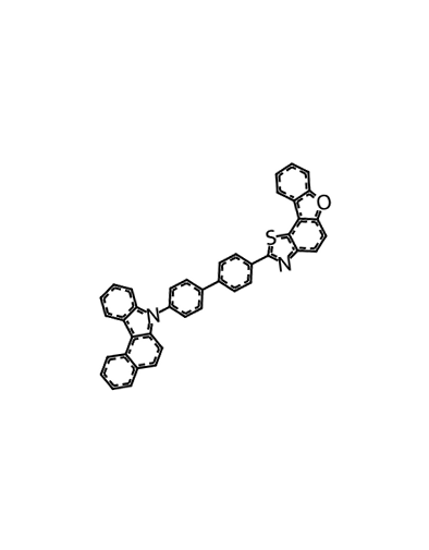 c1ccc2c(c1)ccc1c2c2ccccc2n1-c1ccc(-c2ccc(-c3nc4ccc5oc6ccccc6c5c4s3)cc2)cc1